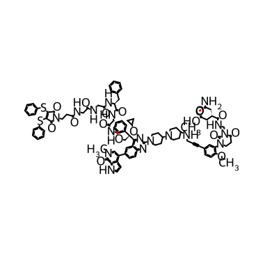 COc1ccc(C#CCNC2(C)CCN(C3CCN(c4nc([C@@](COCNC(=O)CNC(=O)[C@H](Cc5ccccc5)NC(=O)CNC(=O)CNC(=O)CCN5C(=O)C(Sc6ccccc6)=C(Sc6ccccc6)C5=O)(OC5CC5)c5ccccc5)c5cc(-c6cn(C)c(=O)c7[nH]ccc67)ccc5n4)CC3)CC2)cc1N1CCC(=O)N(CNC(=O)[C@@H](CC(N)=O)CC(=O)O)C1=O